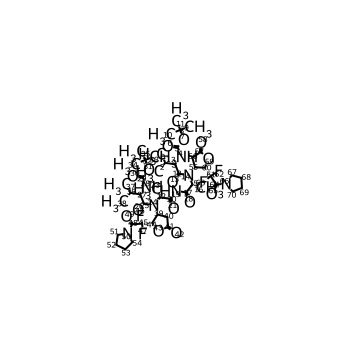 CC(C)[C@H](NC(=O)OC(C)(C)C)C(=O)N([C@H](C)C(=O)NC(=O)[C@@H](C)N(C(=O)[C@@H](NC(=O)OC(C)(C)C)C(C)C)[C@@H]1CC(=O)O[C@@H]1C(F)(F)C(=O)N1CCCC1)[C@@H]1CC(=O)O[C@@H]1C(F)(F)C(=O)N1CCCC1